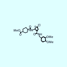 COC(=O)C1CCC(C(=O)Nc2sc(Cl)cc2C(=O)NCc2ccc(OC)c(OC)c2)CC1